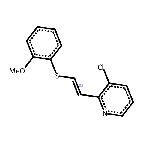 COc1ccccc1S/C=C/c1ncccc1Cl